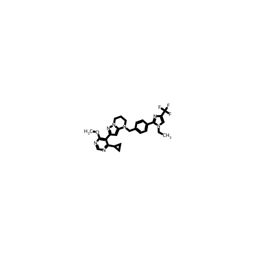 CCn1cc(C(F)(F)F)nc1-c1ccc(CN2CCCn3nc(-c4c(OC)ncnc4C4CC4)cc32)cc1